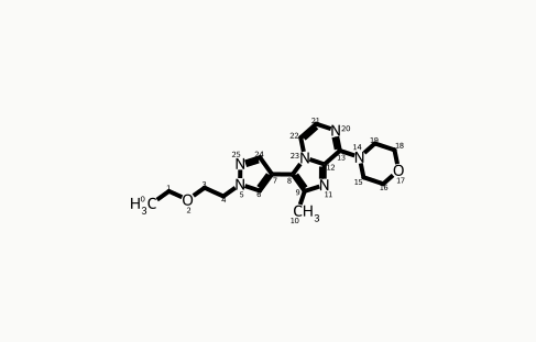 CCOCCn1cc(-c2c(C)nc3c(N4CCOCC4)nccn23)cn1